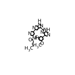 CCCCC(=O)Nc1cncc(-c2cc3c(-c4nc5c(-c6cc(F)cc(OC)c6)cncc5[nH]4)n[nH]c3cn2)c1